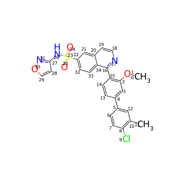 COc1cc(-c2ccc(Cl)c(C)c2)ccc1-c1nccc2cc(S(=O)(=O)Nc3ccon3)ccc12